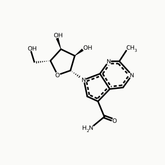 Cc1ncc2c(C(N)=O)cn([C@@H]3O[C@H](CO)[C@@H](O)[C@H]3O)c2n1